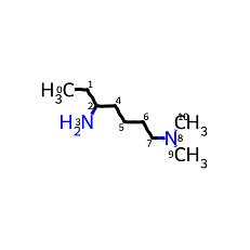 CCC(N)CCCCN(C)C